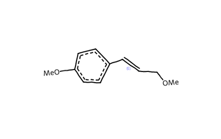 COC/C=C/c1ccc(OC)cc1